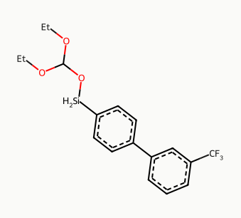 CCOC(OCC)O[SiH2]c1ccc(-c2cccc(C(F)(F)F)c2)cc1